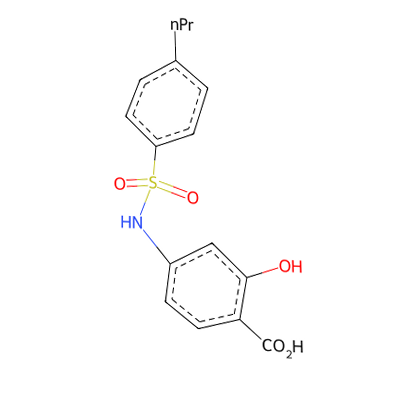 CCCc1ccc(S(=O)(=O)Nc2ccc(C(=O)O)c(O)c2)cc1